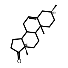 C[C@H]1CCC2(C)C(=CCC3C2CC[C@]2(C)C(=O)CCC32)C1